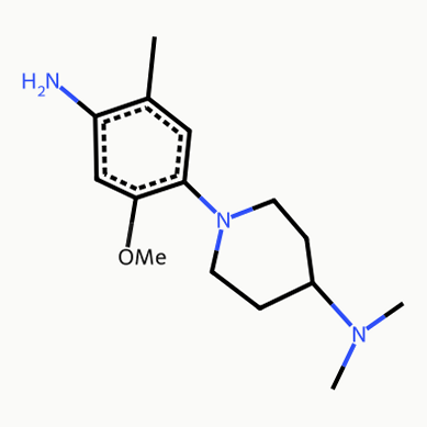 COc1cc(N)c(C)cc1N1CCC(N(C)C)CC1